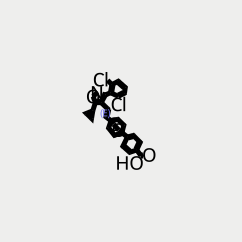 O=C(O)c1ccc(C23CCC(/C=C/c4c(-c5c(Cl)cccc5Cl)noc4C4CC4)(CC2)CO3)cc1